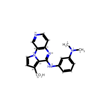 CN(C)c1cccc(Nc2nc3ccncc3n3ccc(C(=O)O)c23)c1